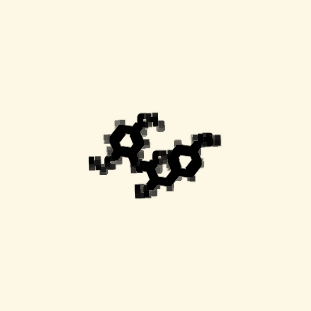 CCC(Cc1ccc(C(C)(C)C)cc1)/C(C)=N/c1cc(C)ccc1C